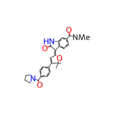 CNC(=O)c1ccc2c(c1)NC(=O)/C2=C1\C=C(c2ccc(C(=O)N3CCCC3)cc2)C(C)(C)O1